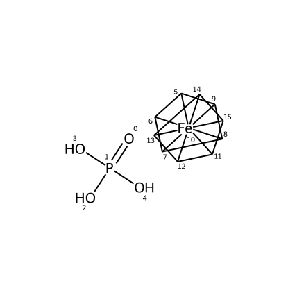 O=P(O)(O)O.[CH]12[CH]3[CH]4[CH]5[CH]1[Fe]23451678[CH]2[CH]1[CH]6[CH]7[CH]28